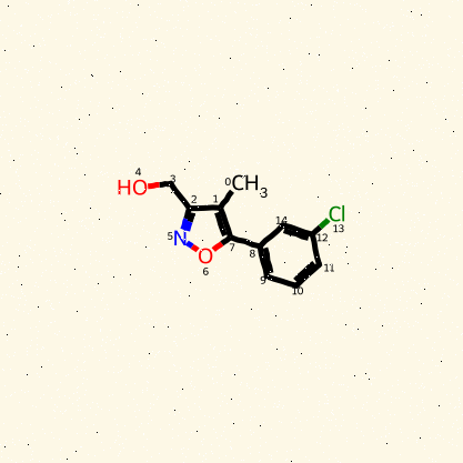 Cc1c(CO)noc1-c1cccc(Cl)c1